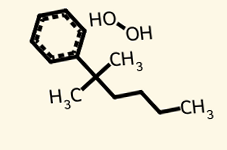 CCCCC(C)(C)c1ccccc1.OO